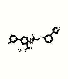 COC(=O)c1cc(-c2cccc(C)c2)ccc1NC(=O)COc1cccc(-c2ccoc2)c1